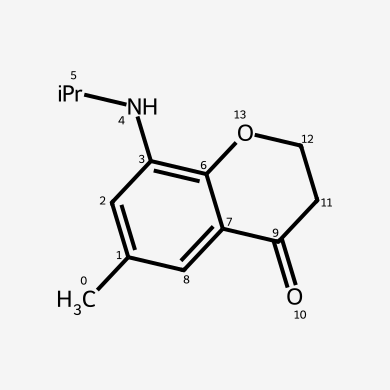 Cc1cc(NC(C)C)c2c(c1)C(=O)CCO2